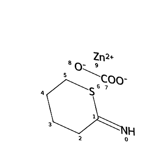 N=C1CCCCS1.O=C([O-])[O-].[Zn+2]